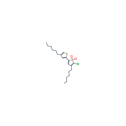 CCCCCCC1=C(Br)S(=O)(=O)C(c2cc(CCCCCC)cs2)=C1